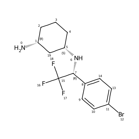 N[C@@H]1CCC[C@H](N[C@H](c2ccc(Br)cc2)C(F)(F)F)C1